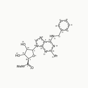 CNC(=O)[C@@H]1OC(n2cnc3c(NCc4ccccc4)nc(C(C)C)nc32)C(O)C1O